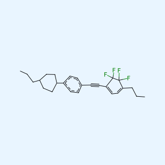 CCCC1=CC=C(C#Cc2ccc(C3CCC(CCC)CC3)cc2)C(F)(F)C1(F)F